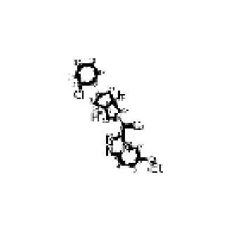 CCOc1ccc2nnc(C(=O)N3C[C@H]4C[C@H](c5ccccc5C(F)(F)F)C[C@H]4C3)n2c1